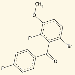 COc1ccc(Br)c(C(=O)c2ccc(F)cc2)c1F